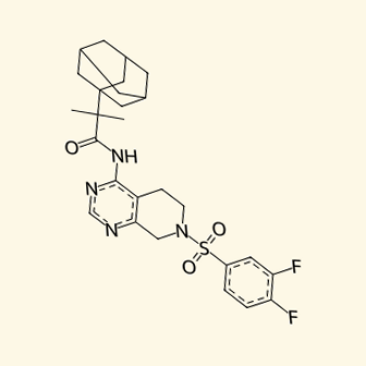 CC(C)(C(=O)Nc1ncnc2c1CCN(S(=O)(=O)c1ccc(F)c(F)c1)C2)C12CC3CC(CC(C3)C1)C2